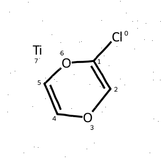 ClC1=COC=CO1.[Ti]